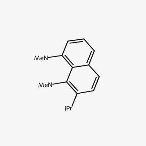 CNc1cccc2ccc(C(C)C)c(NC)c12